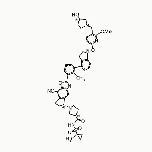 COc1nc(O[C@H]2CCc3c(-c4cccc(-c5nc6cc7c(c(C#N)c6o5)CC[C@H]7N5CC[C@@H](C(=O)NS(=O)(=O)C6(C)CC6)C5)c4C)cccc32)ccc1CN1CC[C@@H](O)C1